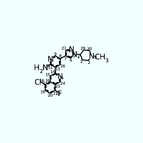 CN1CCC(n2cc(-c3cnc(N)c(-c4cc5c(Cl)ccc(F)c5cn4)c3)cn2)CC1